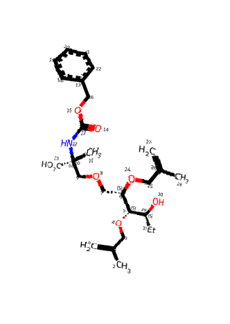 C=C(C)CO[C@H]([C@H](COC[C@](C)(NC(=O)OCc1ccccc1)C(=O)O)OCC(=C)C)[C@@H](O)CC